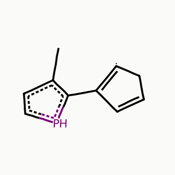 Cc1cc[pH]c1C1=[C]CC=C1